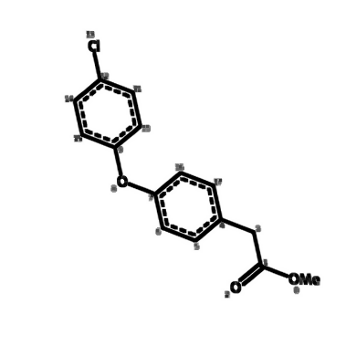 COC(=O)Cc1ccc(Oc2ccc(Cl)cc2)cc1